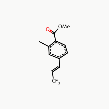 COC(=O)c1ccc(C=CC(F)(F)F)cc1C